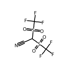 N#CC(S(=O)(=O)C(F)(F)F)S(=O)(=O)C(F)(F)F